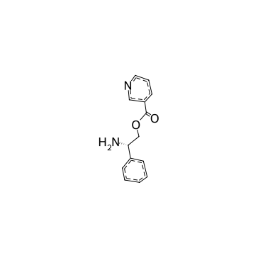 N[C@H](COC(=O)c1cccnc1)c1ccccc1